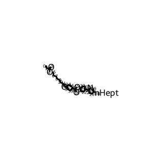 C=CC(=O)OCCCCCCCOc1ccc(C(=O)Oc2ccc(-c3ccc(CCCCCCC)cn3)cc2)cc1